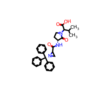 CC(C)C(C(=O)O)N1CC[C@@H](NC(=O)C2C[N@@]2C(c2ccccc2)(c2ccccc2)c2ccccc2)C1=O